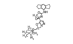 CC(C)(C)[Si](C)(C)OC[C@@H]1Cn2ncc([S@@](C)(=O)=NC(=O)Nc3c4c(cc5c3CCC5)CCC4)c2O1